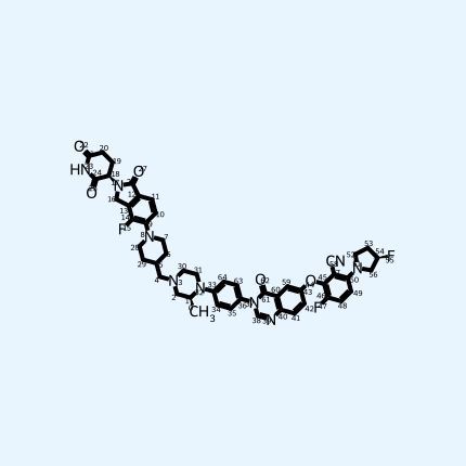 C[C@H]1CN(CC2CCN(c3ccc4c(c3F)CN([C@@H]3CCC(=O)NC3=O)C4=O)CC2)CCN1c1ccc(-n2cnc3ccc(Oc4c(F)ccc(N5CC[C@@H](F)C5)c4C#N)cc3c2=O)cc1